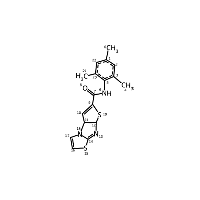 Cc1cc(C)c(NC(=O)C2=CC3C(N=C4SC=CN43)S2)c(C)c1